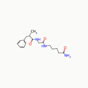 CC(Cc1ccccc1)C(=O)NCC(=O)NCCCCC(N)=O